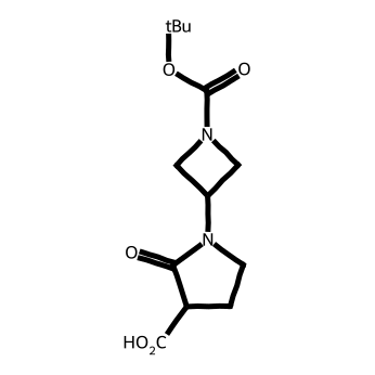 CC(C)(C)OC(=O)N1CC(N2CCC(C(=O)O)C2=O)C1